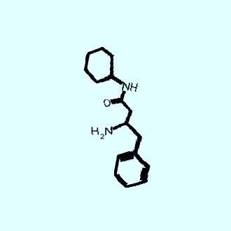 NC(CC(=O)NC1CCCCC1)Cc1ccccc1